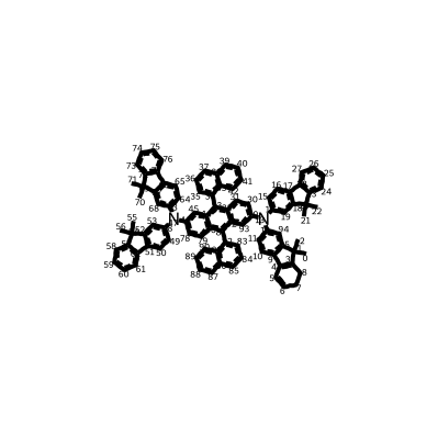 CC1(C)C2=C(C=CCC2)c2ccc(N(c3ccc4c(c3)C(C)(C)c3ccccc3-4)c3ccc4c(-c5cccc6ccccc56)c5cc(N(c6ccc7c(c6)C(C)(C)c6ccccc6-7)c6ccc7c(c6)C(C)(C)c6ccccc6-7)ccc5c(-c5cccc6ccccc56)c4c3)cc21